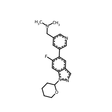 CN(C)Cc1cncc(-c2cc3cnn(C4CCCCO4)c3cc2F)c1